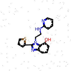 Oc1cccc2nc(-c3cccs3)n(CCNc3ccccn3)c12